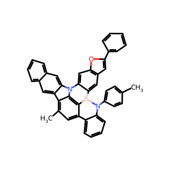 Cc1ccc(N2B3c4cc5cc(-c6ccccc6)oc5cc4-n4c5cc6ccccc6cc5c5c(C)cc(c3c54)-c3ccccc32)cc1